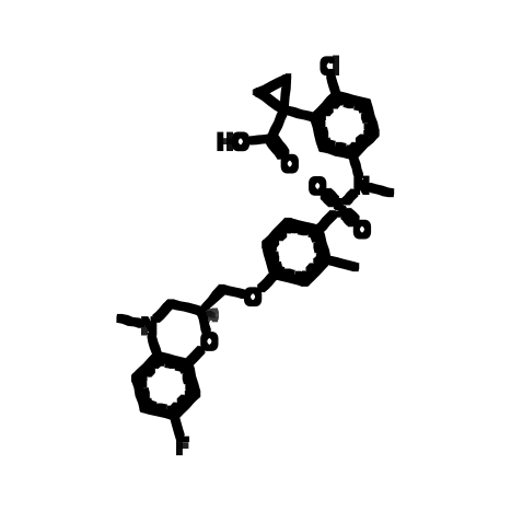 Cc1cc(OC[C@@H]2CN(C)c3ccc(F)cc3O2)ccc1S(=O)(=O)N(C)c1ccc(Cl)c(C2(C(=O)O)CC2)c1